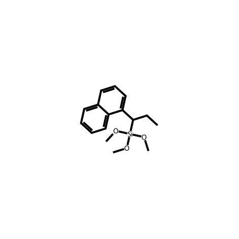 CCC(c1cccc2ccccc12)[Si](OC)(OC)OC